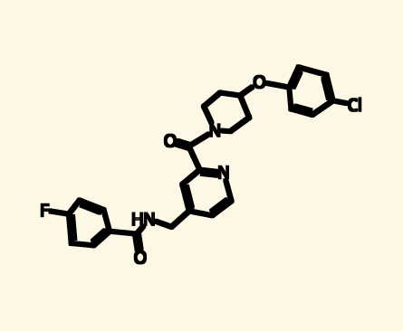 O=C(NCc1ccnc(C(=O)N2CCC(Oc3ccc(Cl)cc3)CC2)c1)c1ccc(F)cc1